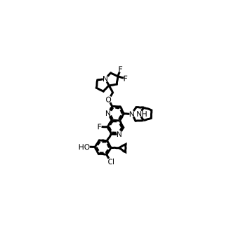 Oc1cc(Cl)c(C2CC2)c(-c2ncc3c(N4CC5CCC(C4)N5)cc(OCC45CCCN4CC(F)(F)C5)nc3c2F)c1